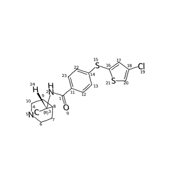 O=C(N[C@H]1CN2CCC1CC2)c1ccc(Sc2cc(Cl)cs2)cc1